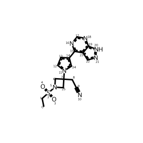 CCS(=O)(=O)N1CC(CC#N)(n2ccc(-c3ncnc4[nH]ncc34)c2)C1